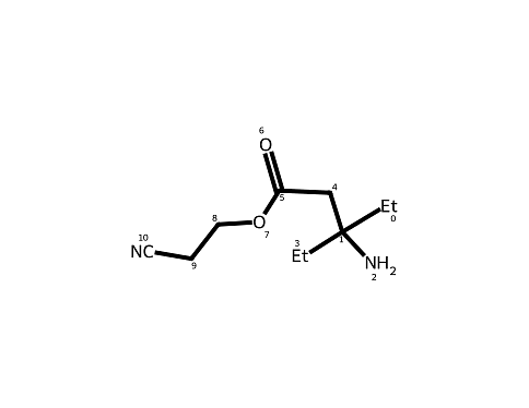 CCC(N)(CC)CC(=O)OCCC#N